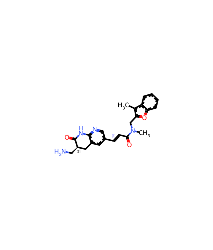 Cc1c(CN(C)C(=O)/C=C/c2cnc3c(c2)C[C@@H](CN)C(=O)N3)oc2ccccc12